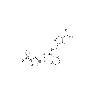 O=C(O)C1CCC(CCN(CCC2CCC(C(=O)O)C2)C2CCCC2)C1